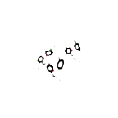 CC(CN)c1ccccc1Oc1ccc(Cl)c(Cl)c1.CNC(C)c1cc(F)ccc1Oc1ccc(Cl)c(Cl)c1.CNCc1ccc(Cl)cc1Oc1ccc(Cl)c(Cl)c1